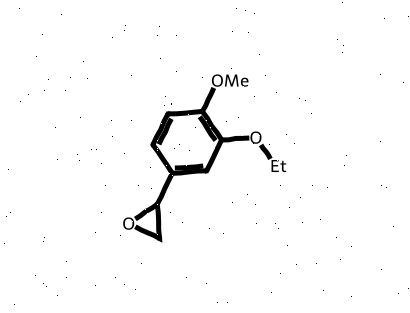 CCOc1cc(C2CO2)ccc1OC